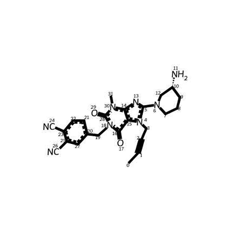 CC#CCn1c(N2CCC[C@@H](N)C2)nc2c1c(=O)n(Cc1ccc(C#N)c(C#N)c1)c(=O)n2C